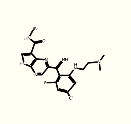 CC(C)NC(=O)c1c[nH]c2ncc(C(=N)c3c(F)cc(Cl)cc3NCCN(C)C)nc12